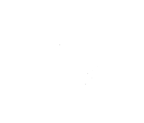 CC(=CCCCCCCCCC(O)(O)C=C(C)C(=O)O)C(=O)O